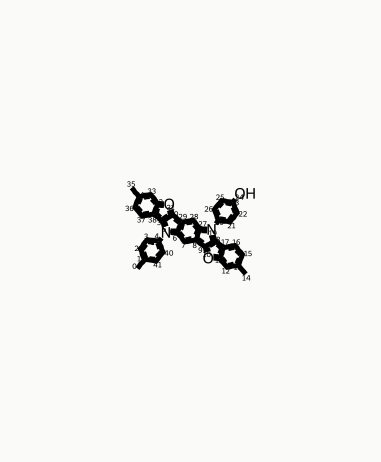 Cc1ccc(-n2c3cc4c5oc6cc(C)ccc6c5n(-c5ccc(O)cc5)c4cc3c3oc4cc(C)ccc4c32)cc1